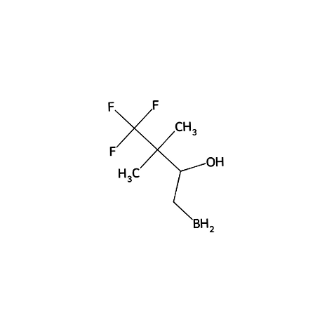 BCC(O)C(C)(C)C(F)(F)F